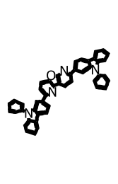 c1ccc(-n2c3ccccc3c3ccc(-c4ccc5c(n4)oc4ccc(-c6ccc7c8ccccc8n(-c8ccccc8)c7c6)nc45)cc32)cc1